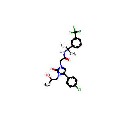 CC(O)Cn1c(-c2ccc(Cl)cc2)cn(CC(=O)NC(C)(C)c2cccc(C(F)(F)F)c2)c1=O